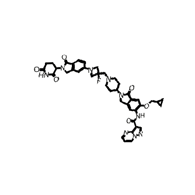 O=C1CCC(N2Cc3cc(N4CC(F)(CN5CCC(N6Cc7cc(NC(=O)c8cnn9cccnc89)c(OCC8CC8)cc7C6=O)CC5)C4)ccc3C2=O)C(=O)N1